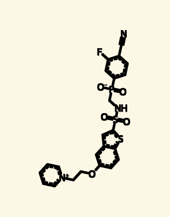 N#Cc1ccc(P(=O)([O-])CNS(=O)(=O)c2cc3cc(OCC[n+]4ccccc4)ccc3s2)cc1F